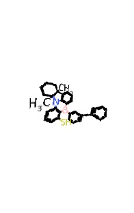 CC12CCCCC1(C)N1c3cccc(S)c3B(c3cccc(-c4ccccc4)c3)c3cccc2c31